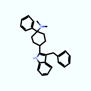 CN(C)C1(c2ccccc2)CCC(c2[nH]c3ccccc3c2Cc2ccccc2)CC1